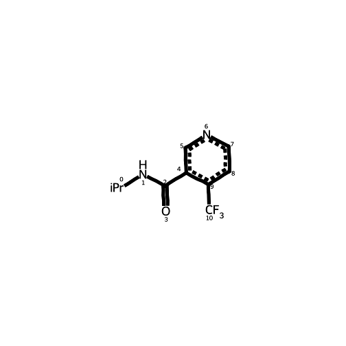 CC(C)NC(=O)c1cnccc1C(F)(F)F